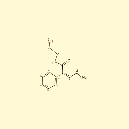 CCCCCCCCCOC=C(C(=O)OCCO)c1ccccc1